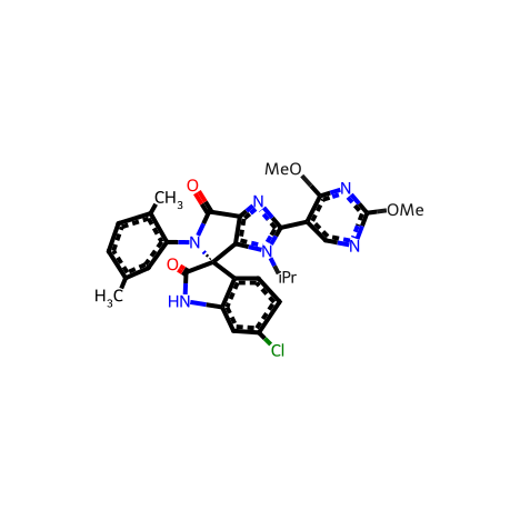 COc1ncc(-c2nc3c(n2C(C)C)[C@@]2(C(=O)Nc4cc(Cl)ccc42)N(c2cc(C)ccc2C)C3=O)c(OC)n1